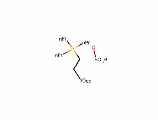 CCCCCCCCCCCC[P+](CCC)(CCC)CCC.O=S(=O)([O-])O